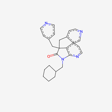 O=C1N(CC2CCCCC2)c2ncccc2C1(Cc1ccncc1)Cc1ccncc1